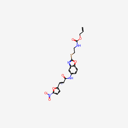 C=CCOC(=O)NCCSc1nc2cc(NC(=O)/C=C/c3ccc([N+](=O)[O-])o3)ccc2o1